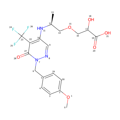 COc1ccc(Cn2ncc(N[C@@H](C)COCC(O)C(=O)O)c(C(F)(F)F)c2=O)cc1